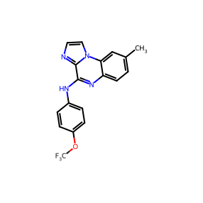 Cc1ccc2nc(Nc3ccc(OC(F)(F)F)cc3)c3nccn3c2c1